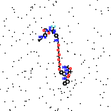 CN[C@@H](C)C(=O)N[C@H](C(=O)N1Cc2cc(OCCOCCOCCOCCOCCOCCNCc3ccc(-n4cc(NC(=O)N5C=COC5c5ccnc(NCC6CC6)c5)c(C(F)F)n4)cc3)ccc2C[C@H]1C(=O)N[C@@H]1CCCc2ccccc21)C(C)(C)C